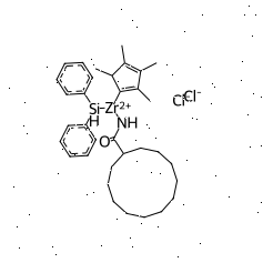 CC1=C(C)C(C)[C]([Zr+2]([NH]C(=O)C2CCCCCCCCCCC2)[SiH](c2ccccc2)c2ccccc2)=C1C.[Cl-].[Cl-]